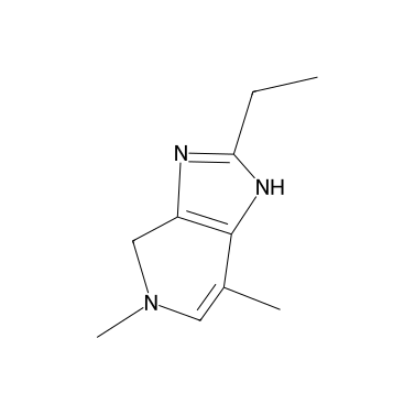 CCc1nc2c([nH]1)C(C)=CN(C)C2